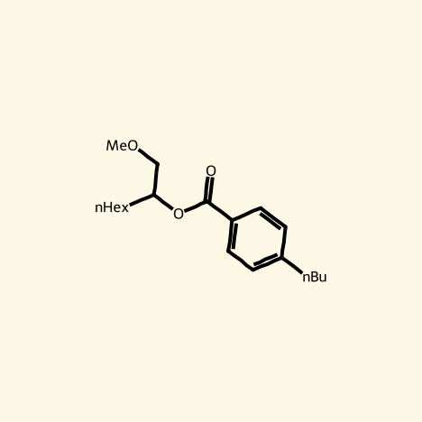 CCCCCCC(COC)OC(=O)c1ccc(CCCC)cc1